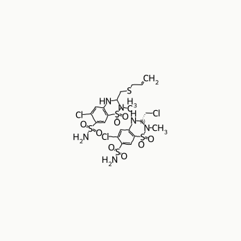 C=CCSCC1Nc2cc(Cl)c(S(N)(=O)=O)cc2S(=O)(=O)N1C.CN1[C@@H](CCl)Nc2cc(Cl)c(S(N)(=O)=O)cc2S1(=O)=O